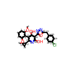 COc1cccc(OC)c1-c1c(C2CC2)nc(O)c(-c2nnc(Cc3ccc(Cl)cc3)o2)c1O